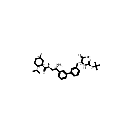 CC(C)[C@@H]1CC[C@@H](C)C[C@H]1C(=O)NC[C@@H](N)c1cccc(-c2cccc(C[C@@H](NC(=O)OC(C)(C)C)C(=O)O)c2)c1